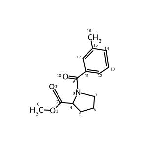 COC(=O)C1CCCN1C(=O)c1cccc(C)c1